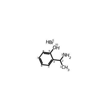 Br.CC(N)c1ccccc1O